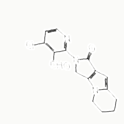 O=Cc1c(Cl)ccnc1N1Cc2c(cc3n2CCCC3)C1=O